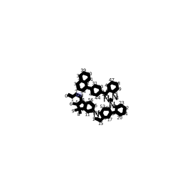 C=C/C=C\C1=C(C)C(C)(C)c2cc(-n3ccc4cc5c6ccccc6n(-c6nc(-c7ccc(-c8cccc9ccccc89)cc7)c7ccccc7n6)c5cc43)ccc21